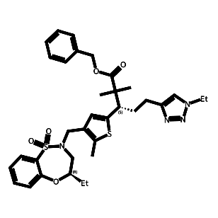 CC[C@@H]1CN(Cc2cc([C@@H](CCc3cn(CC)nn3)C(C)(C)C(=O)OCc3ccccc3)sc2C)S(=O)(=O)c2ccccc2O1